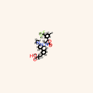 Cc1cc([C@H]2OC(=O)N(Cc3nc(N4CCC4)ccc3-c3cc(CC(C)(C)C(=O)O)ccc3C)[C@H]2C)cc(C(F)(F)F)c1